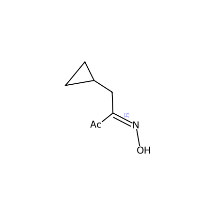 CC(=O)/C(CC1CC1)=N\O